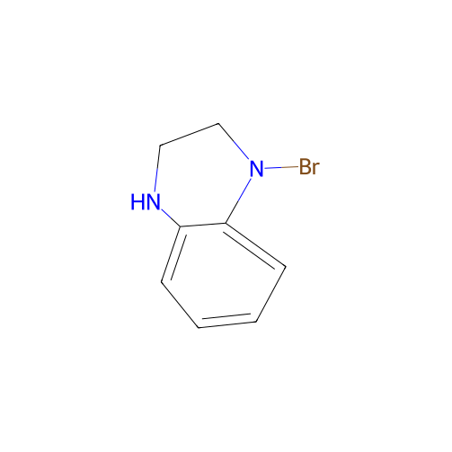 BrN1CCNc2ccccc21